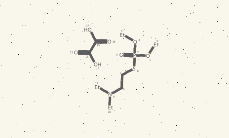 CCOP(=O)(OCC)SCCN(CC)CC.O=C(O)C(=O)O